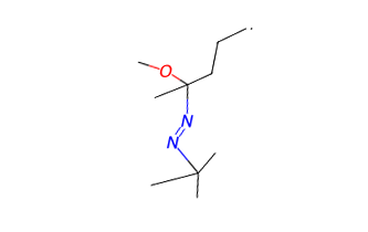 [CH2]CCC(C)(/N=N/C(C)(C)C)OC